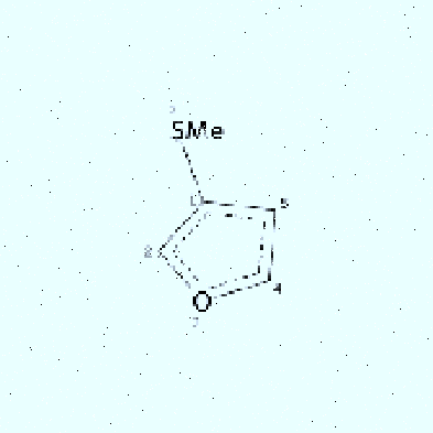 CSc1[c]occ1